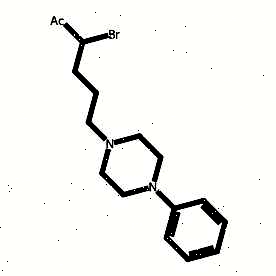 CC(=O)C(Br)CCCN1CCN(c2ccccc2)CC1